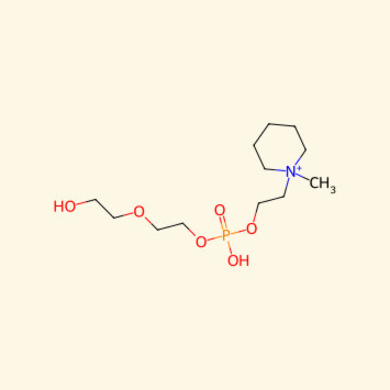 C[N+]1(CCOP(=O)(O)OCCOCCO)CCCCC1